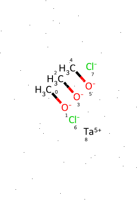 C[O-].C[O-].C[O-].[Cl-].[Cl-].[Ta+5]